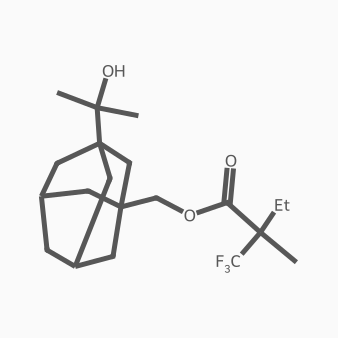 CCC(C)(C(=O)OCC12CC3CC(C1)CC(C(C)(C)O)(C3)C2)C(F)(F)F